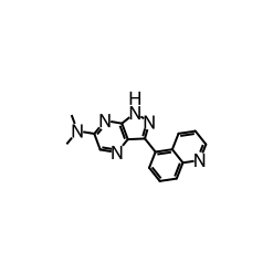 CN(C)c1cnc2c(-c3cccc4ncccc34)n[nH]c2n1